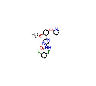 COc1ccc(Oc2ccccn2)cc1-c1cnc(NC(=O)c2c(F)cccc2F)cn1